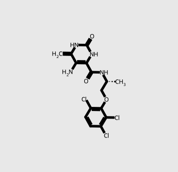 C=C1NC(=O)NC(C(=O)N[C@H](C)COc2c(Cl)ccc(Cl)c2Cl)=C1N